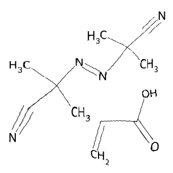 C=CC(=O)O.CC(C)(C#N)N=NC(C)(C)C#N